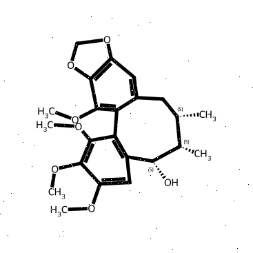 COc1cc2c(c(OC)c1OC)-c1c(cc3c(c1OC)OCO3)C[C@H](C)[C@H](C)[C@@H]2O